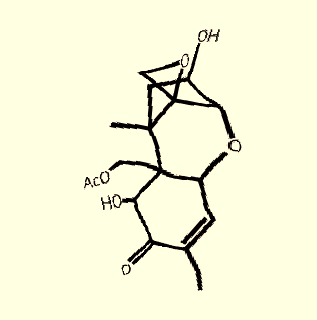 CC(=O)OCC12C(C=C(C)C(=O)C1O)OC1C(O)CC2(C)C12CO2